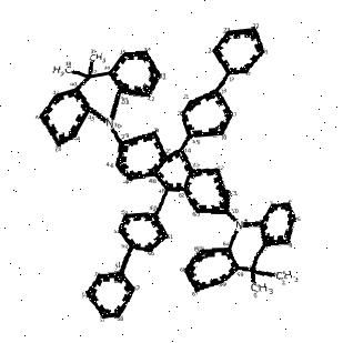 CC1(C)c2ccccc2N(c2ccc3c(-c4ccc(-c5ccccc5)cc4)c4cc(N5c6ccccc6C(C)(C)c6ccccc65)ccc4c(-c4ccc(-c5ccccc5)cc4)c3c2)c2ccccc21